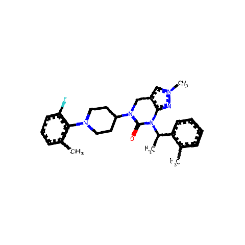 Cc1cccc(F)c1N1CCC(N2Cc3cn(C)nc3N(C(C)c3ccccc3C(F)(F)F)C2=O)CC1